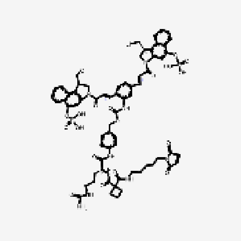 NC(=O)NCCC[C@H](NC(=O)C1(C(=O)NCCCCCN2C(=O)C=CC2=O)CCC1)C(=O)Nc1ccc(COC(=O)Nc2cc(/C=C/C(=O)N3C[C@@H](CCl)c4c3cc(OP(=O)(O)O)c3ccccc43)ccc2/C=C/C(=O)N2CC(CCl)c3c2cc(OP(=O)(O)O)c2ccccc32)cc1